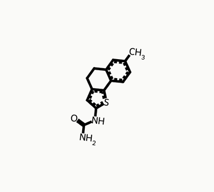 Cc1ccc2c(c1)CCc1cc(NC(N)=O)sc1-2